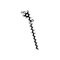 CCCCCCCCCCCCCCCCCOC(=O)CCc1cc(C)c(O)c(C)c1